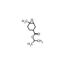 CC(C)OC(=O)C1CCC2(C)OC2C1